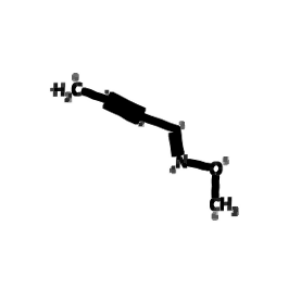 [CH2]C#CC=NOC